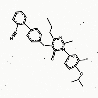 CCCc1nc(C)n(-c2ccc(OC(C)C)c(F)c2)c(=O)c1Cc1ccc(-c2ccccc2C#N)cc1